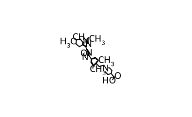 CCn1nc(-c2nc(-c3cc(C)c(CCN4CCC(C(=O)O)CC4)c(C)c3)no2)c2c1CC(C)(C)CC2